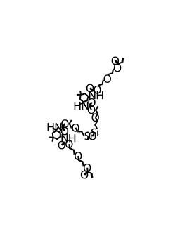 C=CC(=O)OCCCOCCCOC(=O)NC1CC(C)(C)CC(C)(NC(=O)OC(C)COCCC[Si](C)(C)O[Si](C)(C)CCCOCC(C)OC(=O)NC2(C)CC(NC(=O)OCCCOCCCOC(=O)C=C)CC(C)(C)C2)C1